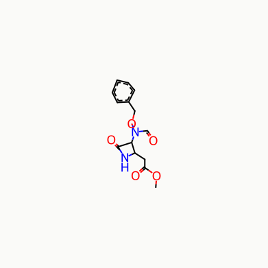 COC(=O)CC1NC(=O)C1N(C=O)OCc1ccccc1